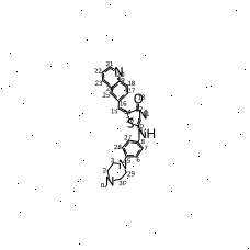 CN1CCN(c2ccc(NC3=NC(=O)/C(=C\c4ccc5ncccc5c4)S3)cc2)CC1